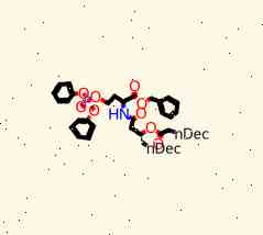 CCCCCCCCCCCC(=O)O[C@H](CCCCCCCCCCC)CC(=O)NC(CCOP(=O)(Oc1ccccc1)Oc1ccccc1)C(=O)OCc1ccccc1